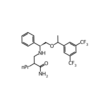 CCCC(CN[C@H](COC(C)c1cc(C(F)(F)F)cc(C(F)(F)F)c1)c1ccccc1)C(N)=O